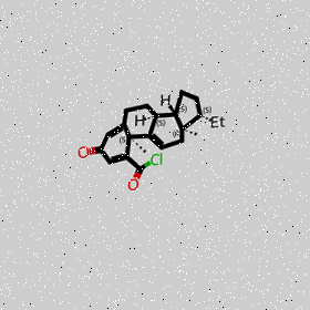 CC[C@H]1CC[C@H]2[C@@H]3CCC4=CC(=O)C=C(C(=O)Cl)[C@]4(C)C3=CC[C@]12C